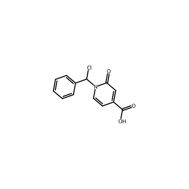 O=C(O)c1ccn(C(Cl)c2ccccc2)c(=O)c1